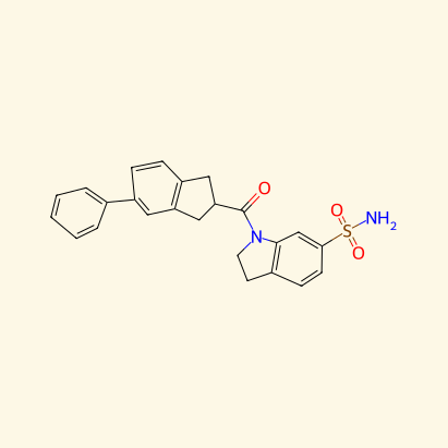 NS(=O)(=O)c1ccc2c(c1)N(C(=O)C1Cc3ccc(-c4ccccc4)cc3C1)CC2